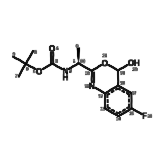 C[C@H](NC(=O)OC(C)(C)C)C1=Nc2ccc(F)cc2C(O)O1